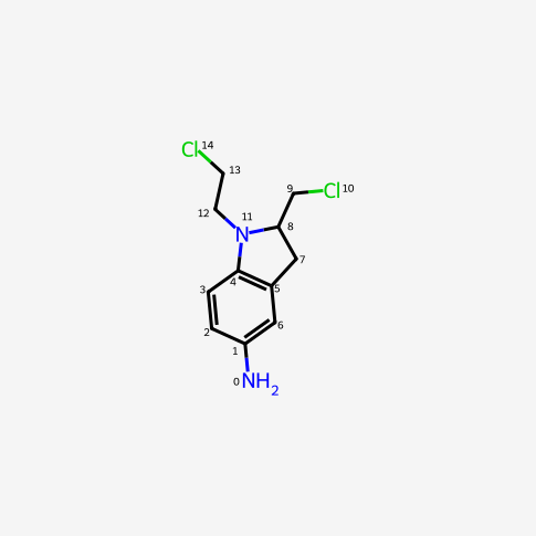 Nc1ccc2c(c1)CC(CCl)N2CCCl